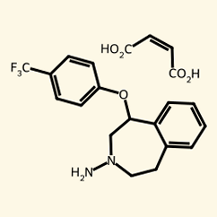 NN1CCc2ccccc2C(Oc2ccc(C(F)(F)F)cc2)C1.O=C(O)/C=C\C(=O)O